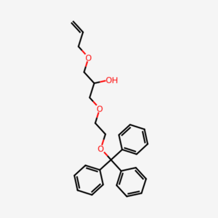 C=CCOCC(O)COCCOC(c1ccccc1)(c1ccccc1)c1ccccc1